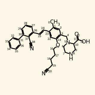 Cc1cc(CN2CCNCC2C(=O)O)c(OCCCCC#N)cc1C=Cc1cccc(-c2ccccc2)c1C#N